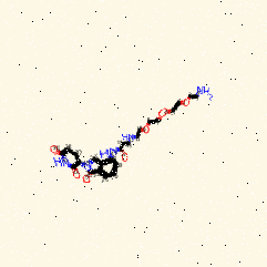 NCCOCCOCCOCCNCCC(=O)Nc1cccc2c1CN(C1CCC(=O)NC1=O)C2=O